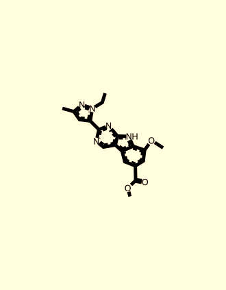 CCn1nc(C)cc1-c1ncc2c(n1)[nH]c1c(OC)cc(C(=O)OC)cc12